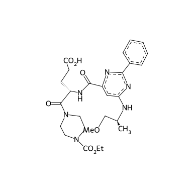 CCOC(=O)N1CCN(C(=O)[C@H](CCC(=O)O)NC(=O)c2cc(N[C@@H](C)COC)nc(-c3ccccc3)n2)CC1